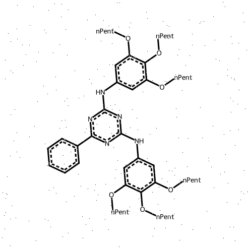 CCCCCOc1cc(Nc2nc(Nc3cc(OCCCCC)c(OCCCCC)c(OCCCCC)c3)nc(-c3cc[c]cc3)n2)cc(OCCCCC)c1OCCCCC